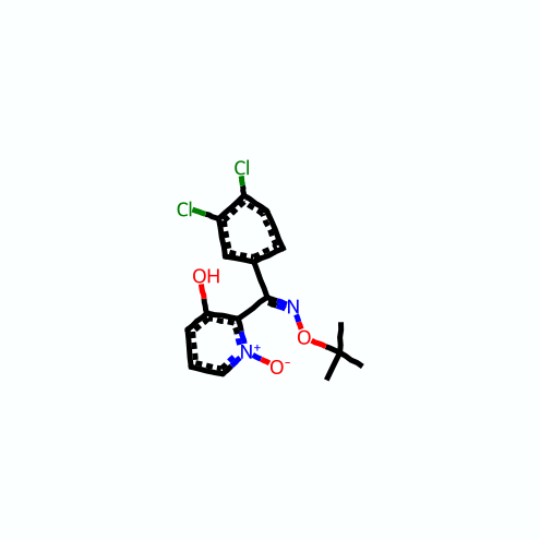 CC(C)(C)ON=C(c1ccc(Cl)c(Cl)c1)c1c(O)ccc[n+]1[O-]